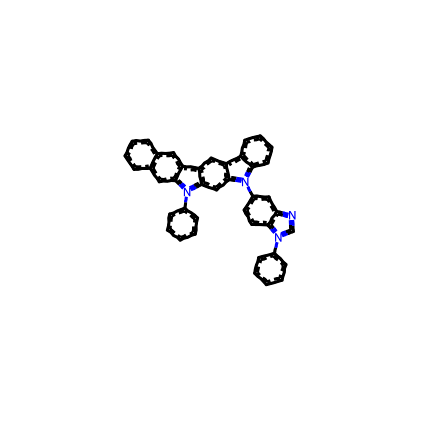 c1ccc(-n2cnc3cc(-n4c5ccccc5c5cc6c7cc8ccccc8cc7n(-c7ccccc7)c6cc54)ccc32)cc1